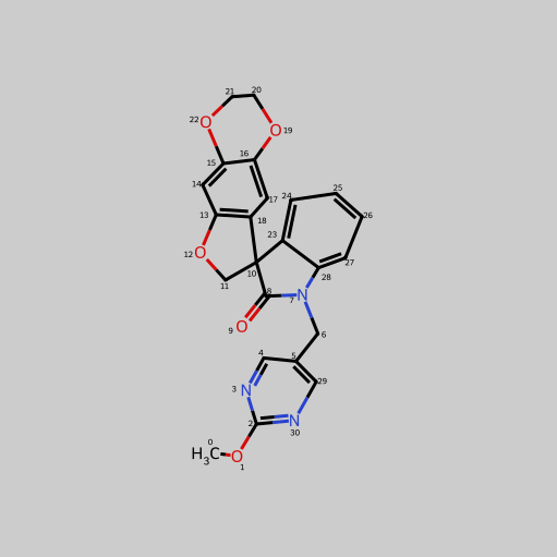 COc1ncc(CN2C(=O)C3(COc4cc5c(cc43)OCCO5)c3ccccc32)cn1